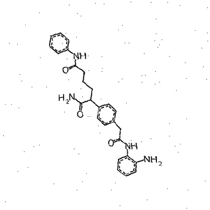 NC(=O)C(CCCC(=O)Nc1ccccc1)c1ccc(CC(=O)Nc2ccccc2N)cc1